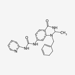 CC1NC(=O)c2ccc(NC(=O)Nc3ccccn3)cc2N1CC1=CC=CCC1